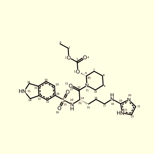 CCOC(=O)O[C@@H]1CCCCN1C(=O)[C@H](CCCNc1ncc[nH]1)NS(=O)(=O)c1ccc2c(c1)CNC2